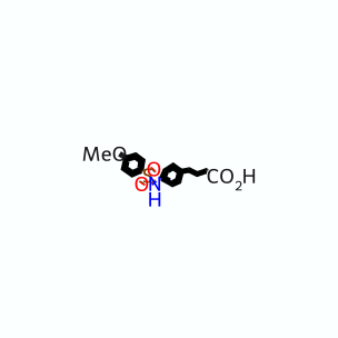 COc1ccc(S(=O)(=O)Nc2ccc(CCCC(=O)O)cc2)cc1